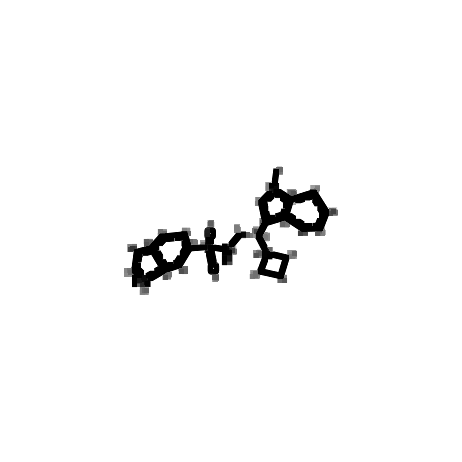 Cn1cc([C@@H](CNS(=O)(=O)c2ccc3cc[nH]c3c2)N2CCC2)c2ccccc21